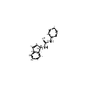 S=C(Nc1ccccc1)N[C@H]1C=Cc2ccccc21